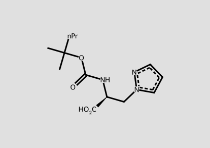 CCCC(C)(C)OC(=O)N[C@@H](Cn1cccn1)C(=O)O